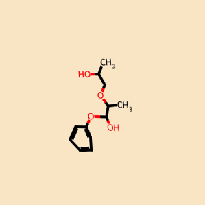 CC(O)COC(C)C(O)Oc1ccccc1